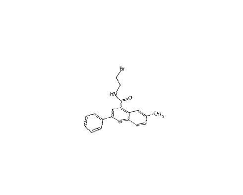 Cc1ccc2nc(-c3ccccc3)cc(C(=O)NCCBr)c2c1